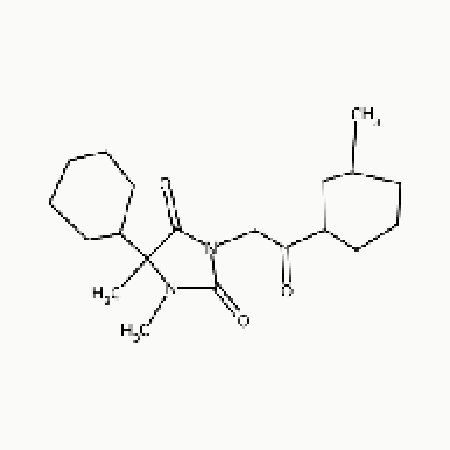 CC1CCCC(C(=O)CN2C(=O)N(C)C(C)(C3CCCCC3)C2=O)C1